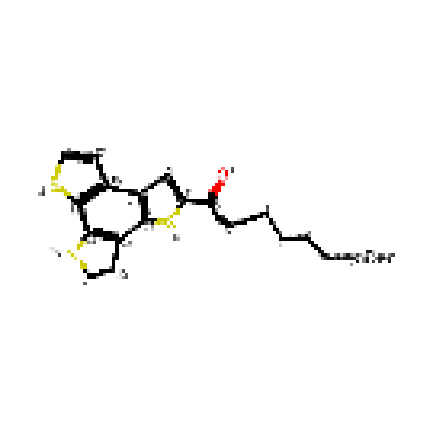 CCCCCCCCCCCCCCCC(=O)c1cc2c(s1)c1c(c3sccc32)SCC1